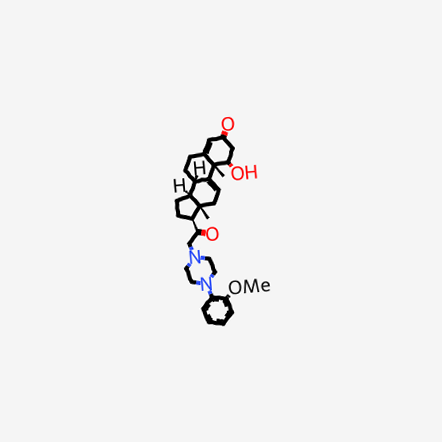 COc1ccccc1N1CCN(CC(=O)[C@H]2CC[C@H]3[C@@H]4CCC5=CC(=O)CC(O)[C@]5(C)C4=CC[C@]23C)CC1